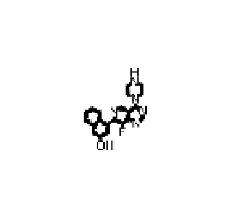 Oc1cc(-c2ncc3c(N4CCNCC4)ncnc3c2F)c2ccccc2c1